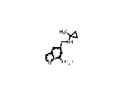 CC1(NCc2cc(C(=O)O)n3nccc3c2)CC1